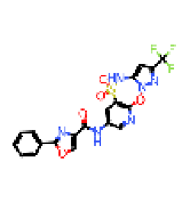 O=C(Nc1cnc2c(c1)S(=O)(=O)Nc1cc(C(F)(F)F)nn1O2)c1coc(-c2ccccc2)n1